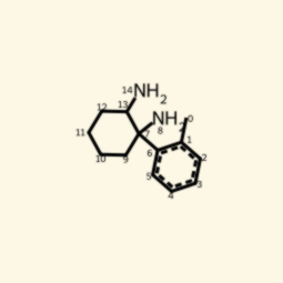 Cc1ccccc1C1(N)CCCCC1N